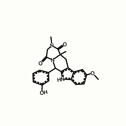 COc1ccc2[nH]c3c(c2c1)CC1(C)C(=O)N(C)CC(=O)N1C3c1cccc(O)c1